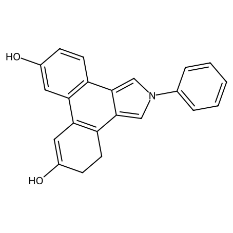 OC1=Cc2c(c3cn(-c4ccccc4)cc3c3ccc(O)cc23)CC1